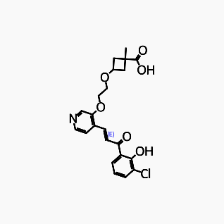 CC1(C(=O)O)CC(OCCOc2cnccc2/C=C/C(=O)c2cccc(Cl)c2O)C1